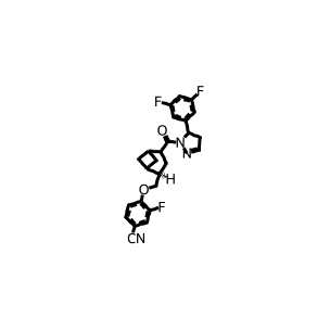 N#Cc1ccc(OC[C@@H]2CC(C(=O)N3N=CCC3c3cc(F)cc(F)c3)C3CC2C3)c(F)c1